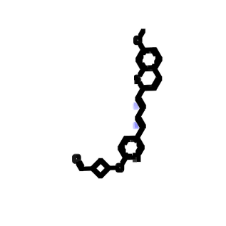 COc1ccc2c(c1)SC(/C=C/C=C/c1ccc(OC3CC(C=O)C3)nc1)=C=C2